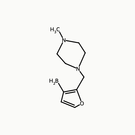 Bc1ccoc1CN1CCN(C)CC1